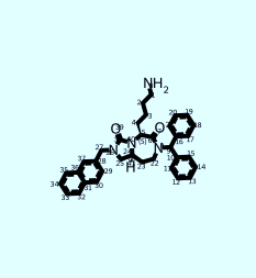 NCCCC[C@H]1C(=O)N(C(c2ccccc2)c2ccccc2)CC[C@H]2CN(Cc3ccc4ccccc4c3)C(=O)N21